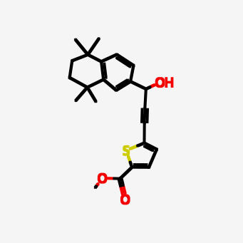 COC(=O)c1ccc(C#CC(O)c2ccc3c(c2)C(C)(C)CCC3(C)C)s1